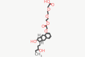 CC[C@H](O)CC[C@@H]1[C@H]2Cc3cccc(OCC(=O)OCCOCCOCC(=O)O)c3C[C@H]2C[C@H]1O